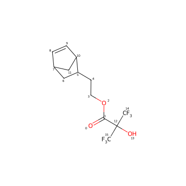 O=C(OCCC1CC2C=CC1C2)C(O)(C(F)(F)F)C(F)(F)F